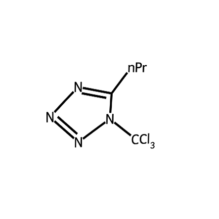 CCCc1nnnn1C(Cl)(Cl)Cl